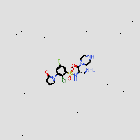 NC[C@H](NS(=O)(=O)c1cc(F)cc(N2CCCC2=O)c1Cl)C(=O)N1CCNCC1